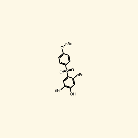 CCCCOc1ccc(S(=O)(=O)c2cc(CCC)c(O)cc2CCC)cc1